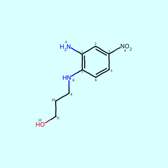 Nc1cc([N+](=O)[O-])ccc1NCCCO